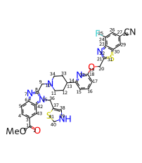 COC(=O)c1ccc2nc(CN3CCC(c4cccc(OCc5nc6c(F)cc(C#N)cc6s5)n4)CC3)n(CC3=CNCS3)c2c1